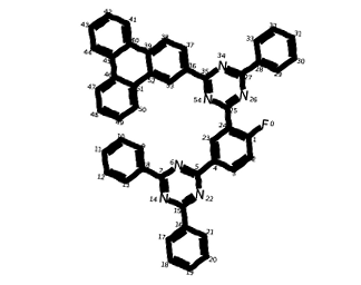 Fc1ccc(-c2nc(-c3ccccc3)nc(-c3ccccc3)n2)cc1-c1nc(-c2ccccc2)nc(-c2ccc3c4ccccc4c4ccccc4c3c2)n1